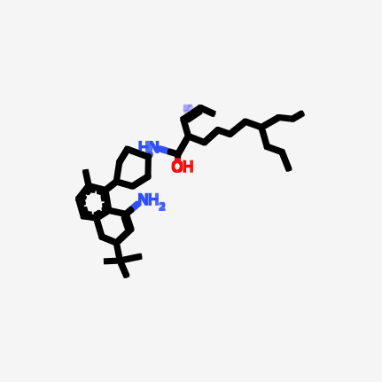 C/C=C\C(CCCCC(CCC)CCC)C(O)NC1CCC(c2c(C)ccc3c2C(N)=CC(C(C)(C)C)C3)CC1